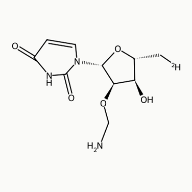 [2H]C[C@H]1O[C@@H](n2ccc(=O)[nH]c2=O)[C@H](OCN)[C@@H]1O